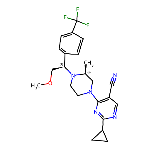 COC[C@@H](c1ccc(C(F)(F)F)cc1)N1CCN(c2nc(C3CC3)ncc2C#N)C[C@@H]1C